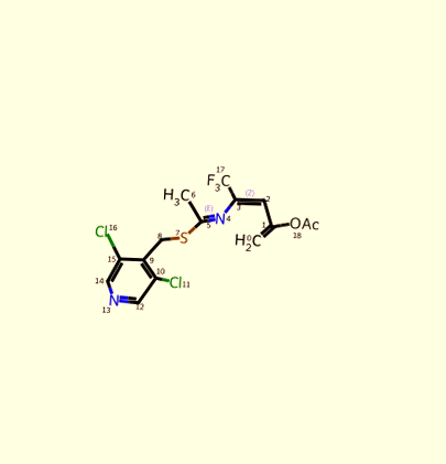 C=C(/C=C(\N=C(/C)SCc1c(Cl)cncc1Cl)C(F)(F)F)OC(C)=O